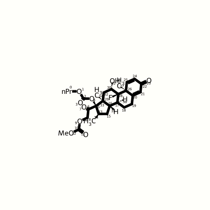 CCCOC(=O)O[C@]1(C(=O)COC(=O)OC)[C@H](C)C[C@H]2[C@@H]3CCC4=CC(=O)C=C[C@]4(C)[C@@]3(F)[C@@H](O)C[C@@]21C